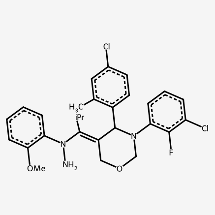 COc1ccccc1N(N)/C(=C1\COCN(c2cccc(Cl)c2F)C1c1ccc(Cl)cc1C)C(C)C